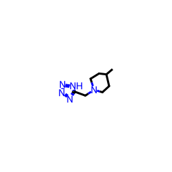 CC1CCN(Cc2nnn[nH]2)CC1